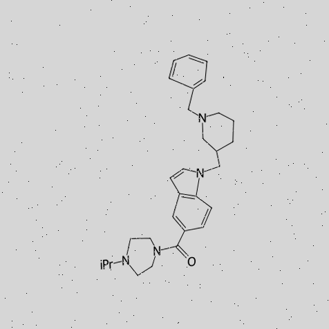 CC(C)N1CCN(C(=O)c2ccc3c(ccn3CC3CCCN(Cc4ccccc4)C3)c2)CC1